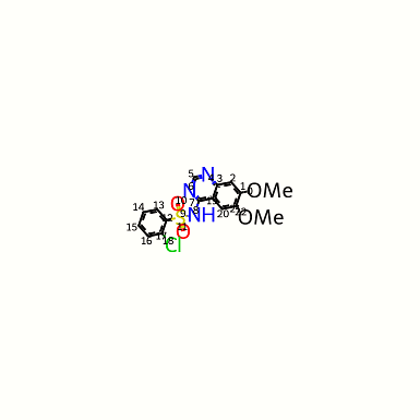 COc1cc2ncnc(NS(=O)(=O)c3ccccc3Cl)c2cc1OC